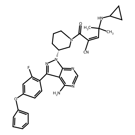 CC(C)(/C=C(/C#N)C(=O)N1CCC[C@@H](n2nc(-c3ccc(Oc4ccccc4)cc3F)c3c(N)ncnc32)C1)NC1CC1